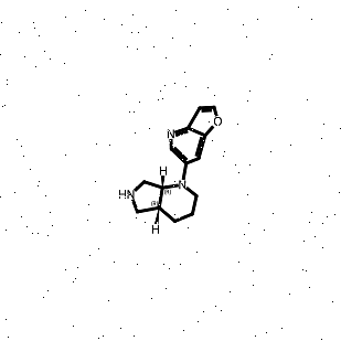 c1cc2ncc(N3CCC[C@@H]4CNC[C@@H]43)cc2o1